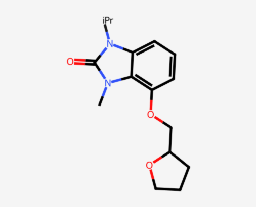 CC(C)n1c(=O)n(C)c2c(OCC3CCCO3)cccc21